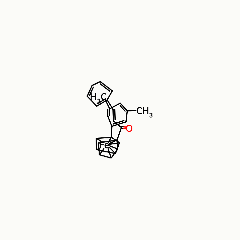 Cc1cc(C)cc([C]23[CH]4[CH]5[CH]6[CH]2[Fe]56432789[CH]3[CH]2[CH]7[C]8(C(=O)C=Cc2ccccc2)[CH]39)c1